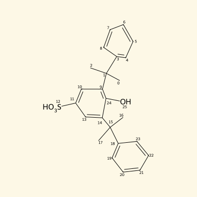 CC(C)(c1ccccc1)c1cc(S(=O)(=O)O)cc(C(C)(C)c2ccccc2)c1O